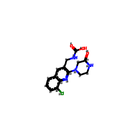 O=C(O)NCc1cc2cccc(Cl)c2nc1N1CCNC(=O)C1